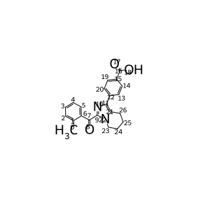 Cc1ccccc1C(=O)c1nc(-c2ccc(C(=O)O)cc2)c2n1CCCC2